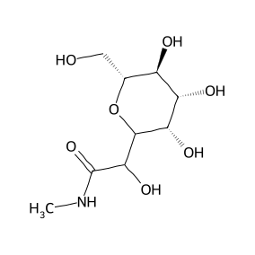 CNC(=O)C(O)C1O[C@H](CO)[C@@H](O)[C@H](O)[C@@H]1O